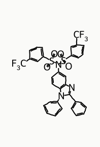 O=S(=O)(c1cccc(C(F)(F)F)c1)N(c1ccc2c(c1)nc(-c1ccccc1)n2-c1ccccc1)S(=O)(=O)c1cccc(C(F)(F)F)c1